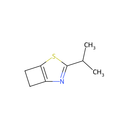 CC(C)c1nc2c(s1)CC2